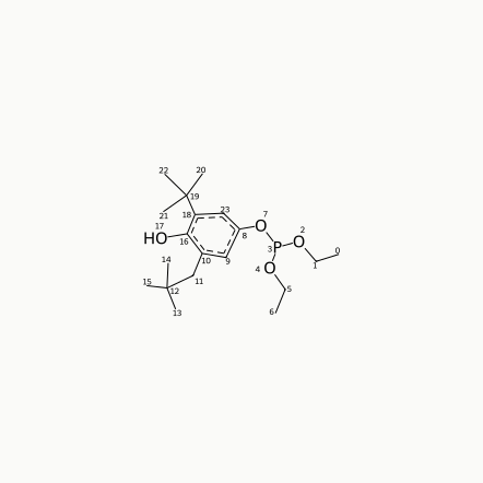 CCOP(OCC)Oc1cc(CC(C)(C)C)c(O)c(C(C)(C)C)c1